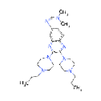 CCCN1CCN(c2nc3ccc(/N=C\N(C)C)cc3nc2N2CCN(CCC)CC2)CC1